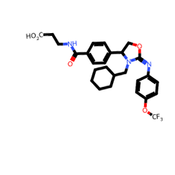 O=C(O)CCNC(=O)c1ccc(C2COC(=Nc3ccc(OC(F)(F)F)cc3)N2CC2CCCCC2)cc1